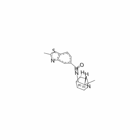 Cc1nc2cc(C(=O)N[C@@H]3C4CCN(CC4)[C@H]3C)ccc2s1